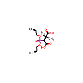 C=CCOP(=O)(OCC=C)C(C(=O)O)C(C)(C)C(=O)O